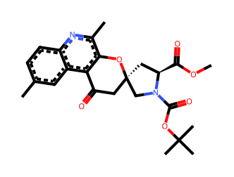 COC(=O)[C@@H]1C[C@@]2(CC(=O)c3c(c(C)nc4ccc(C)cc34)O2)CN1C(=O)OC(C)(C)C